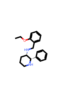 CCOc1ccccc1CN[C@H]1CCCN[C@H]1c1ccccc1